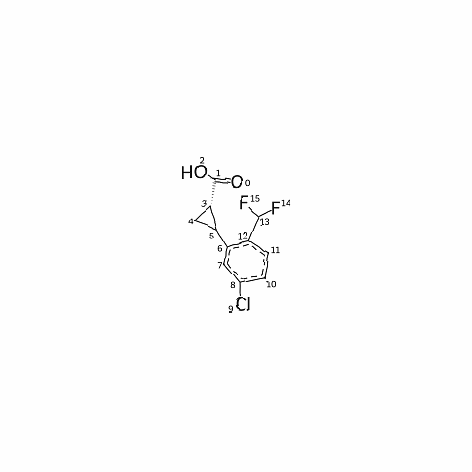 O=C(O)[C@H]1CC1c1cc(Cl)ccc1C(F)F